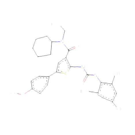 Cc1cc(C)c(NC(=O)Nc2sc(-c3ccc(OC(F)(F)F)cc3)cc2C(=O)N(CC(=O)O)C2CCCCC2)c(C)c1